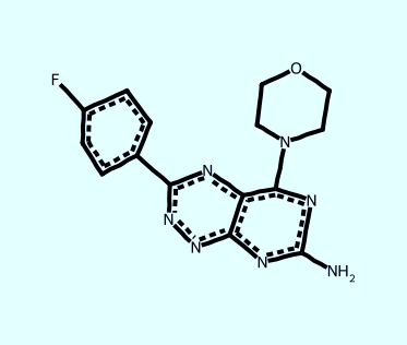 Nc1nc(N2CCOCC2)c2nc(-c3ccc(F)cc3)nnc2n1